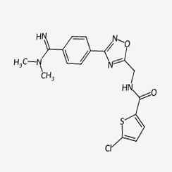 CN(C)C(=N)c1ccc(-c2noc(CNC(=O)c3ccc(Cl)s3)n2)cc1